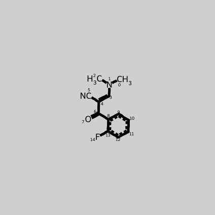 CN(C)C=C(C#N)C(=O)c1ccccc1F